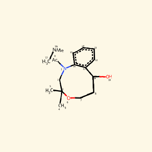 CC(=O)N1CC(C)(C)OCCC(O)c2ccccc21.CNC